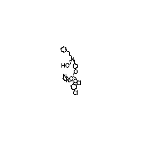 OCCN(C/C=C/c1ccccc1)Cc1ccc(OC[C@@H]2CO[C@@](Cn3ccnc3)(c3ccc(Cl)cc3Cl)O2)cc1